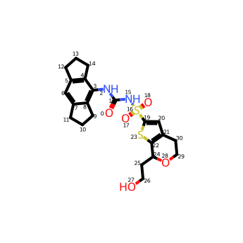 O=C(Nc1c2c(cc3c1CCC3)CCC2)NS(=O)(=O)c1cc2c(s1)C(CCO)OCC2